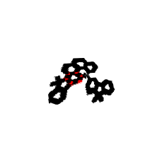 CC1(C)c2ccccc2-c2cc(N(c3ccc4c(c3)-c3ccccc3C4(C)C)c3cccc4ccc5ccc6ccccc6c5c34)ccc21